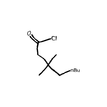 CCCCCC(C)(C)CC(=O)Cl